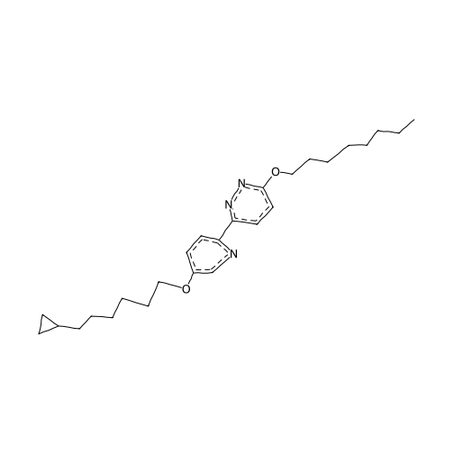 CCCCCCCCOc1ccc(-c2ccc(OCCCCCCC3CC3)cn2)nn1